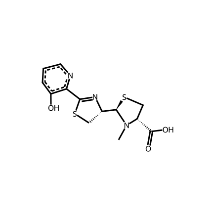 CN1[C@@H](C(=O)O)CS[C@@H]1[C@@H]1CSC(c2ncccc2O)=N1